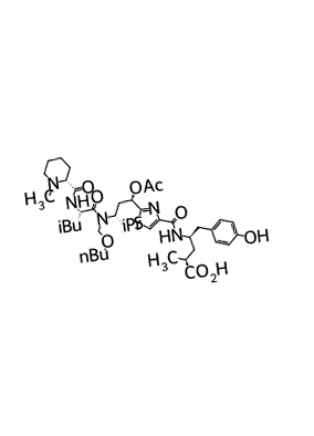 CCCCOCN(C(=O)[C@@H](NC(=O)[C@H]1CCCCN1C)[C@@H](C)CC)[C@H](C[C@@H](OC(C)=O)c1nc(C(=O)N[C@@H](Cc2ccc(O)cc2)C[C@H](C)C(=O)O)cs1)C(C)C